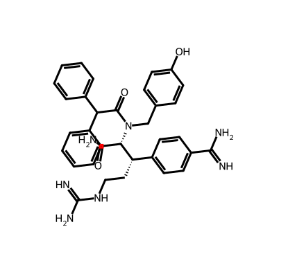 N=C(N)NCC[C@@H](c1ccc(C(=N)N)cc1)[C@H](C(N)=O)N(Cc1ccc(O)cc1)C(=O)C(c1ccccc1)c1ccccc1